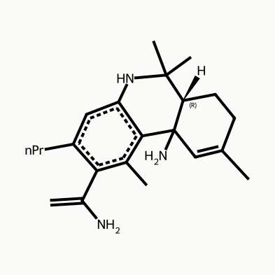 C=C(N)c1c(CCC)cc2c(c1C)C1(N)C=C(C)CC[C@H]1C(C)(C)N2